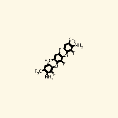 Nc1c(C(F)(F)F)ccc(Oc2c(F)cc(C(F)(F)F)c(Oc3ccc(C(F)(F)F)c(N)c3F)c2F)c1F